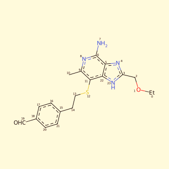 CCOCc1nc2c(N)nc(C)c(SCCc3ccc(C=O)cc3)c2[nH]1